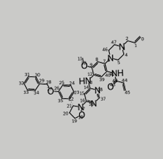 C=CCN1CCN(c2cc(OC)c(Nc3cc(N4OCC[C@@H]4c4cccc(OCc5ccccc5)c4)ncn3)cc2NC(=O)C=C)CC1